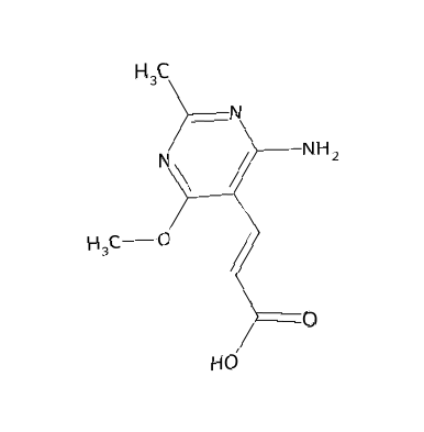 COc1nc(C)nc(N)c1/C=C/C(=O)O